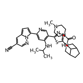 CC(C)Nc1cc(-c2ccc3cc(C#N)cnn23)ncc1-c1nnc(N2CC3CCC(C2)C3NC(=O)N2CCN(C)CC2)s1